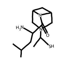 CC(C)CC(N)C(=O)N1C2CC1CN(C(C)S)C2